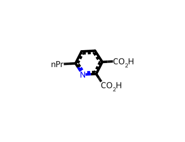 CCCc1ccc(C(=O)O)c(C(=O)O)n1